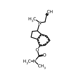 C#CCN(C)C1CCc2c(OC(=O)N(C)C)cccc21